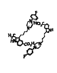 Cc1[nH]c2ccc(C(=O)O)cc2c1CCCCN1CCN(c2ccc(F)cc2)CC1.O=C(O)c1ccc2[nH]cc(CCCCN3CCN(c4ccc(F)cc4)CC3)c2c1